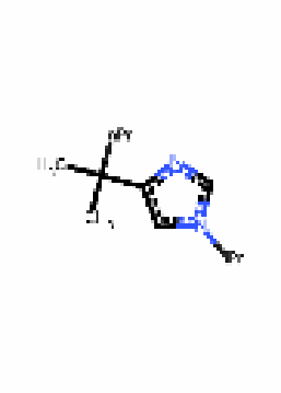 CCCC(C)(C)c1cn(C(C)C)cn1